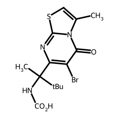 Cc1csc2nc(C(C)(NC(=O)O)C(C)(C)C)c(Br)c(=O)n12